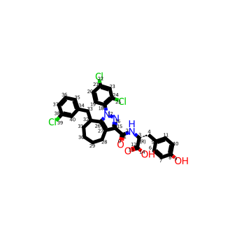 O=C(N[C@H](Cc1ccc(O)cc1)C(=O)O)c1nn(-c2ccc(Cl)cc2Cl)c2c1CCCCC2Cc1cccc(Cl)c1